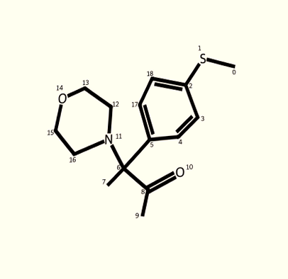 CSc1ccc(C(C)(C(C)=O)N2CCOCC2)cc1